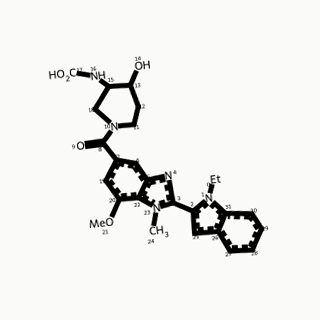 CCn1c(-c2nc3cc(C(=O)N4CCC(O)C(NC(=O)O)C4)cc(OC)c3n2C)cc2ccccc21